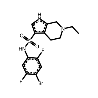 CCN1CCc2c(S(=O)(=O)Nc3cc(F)c(Br)cc3F)c[nH]c2C1